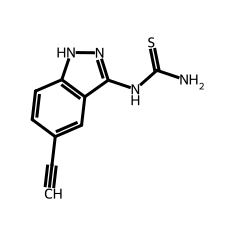 C#Cc1ccc2[nH]nc(NC(N)=S)c2c1